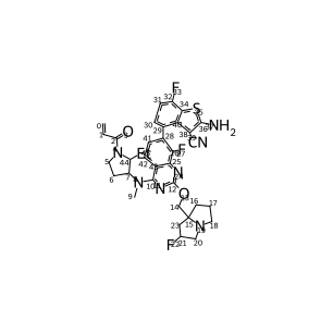 C=CC(=O)N1CCC(N(C)c2nc(OCC34CCCN3CC(F)C4)nc3c(F)c(-c4ccc(F)c5sc(N)c(C#N)c45)ccc23)C1CC